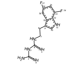 N=C(N)NC(=N)NCCc1c[nH]c2c(F)cc(F)cc12